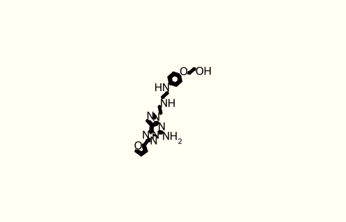 Nc1nc2c(cnn2CCNCCNc2ccc(OCCO)cc2)c2nc(-c3ccco3)nn12